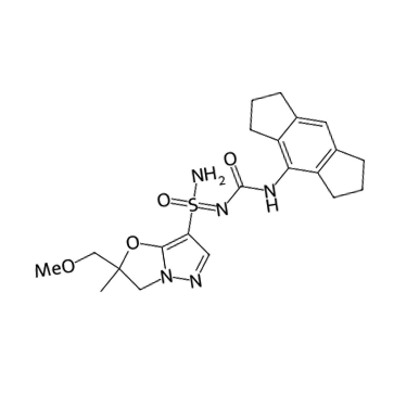 COCC1(C)Cn2ncc(S(N)(=O)=NC(=O)Nc3c4c(cc5c3CCC5)CCC4)c2O1